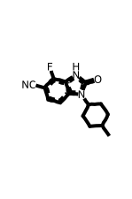 CC1CCC(n2c(=O)[nH]c3c(F)c(C#N)ccc32)CC1